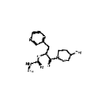 CC(C)(C)NC(=O)OC(Cc1cccnc1)C(=O)N1CCC(O)CC1